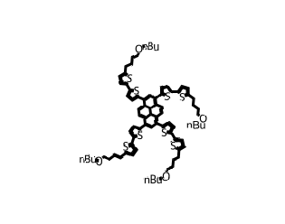 CCCCOCCCCc1ccc(-c2ccc(C3=CC(c4ccc(-c5ccc(CCCCOCCCC)s5)s4)=C4C=CC5=C(c6ccc(-c7ccc(CCCCOCCCC)s7)s6)C=C(c6ccc(-c7ccc(CCCCOCCCC)s7)s6)C6=CC=C3C4C65)s2)s1